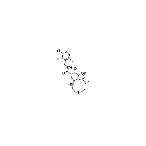 CN1CCNn2cc(C(=O)NCc3c(F)ccc(Cl)c3F)c(=O)c(O)c2C(=O)N(C)CC1